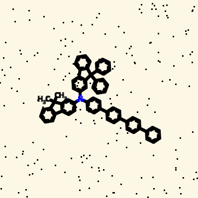 CC1(C)c2ccccc2-c2ccc(N(c3ccc(-c4ccc(-c5ccc(-c6ccccc6)cc5)cc4)cc3)c3ccc4c(c3)C(c3ccccc3)(c3ccccc3)c3ccccc3-4)cc21